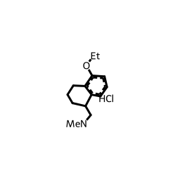 CCOc1cccc2c1CCCC2CNC.Cl